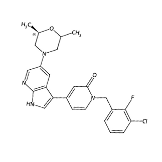 CC1CN(c2cnc3[nH]cc(-c4ccn(Cc5cccc(Cl)c5F)c(=O)c4)c3c2)C[C@@H](C)O1